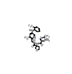 C=C(C)/N=C\C(=C/N)C(=O)N[C@@]1(C(=O)NCc2ncc(Nc3ccccc3C(F)(F)F)cc2C)CCOC1